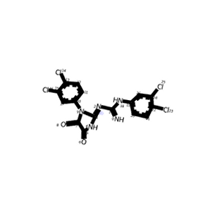 N=C(/N=C1\NC(=O)C(=O)N1c1ccc(Cl)c(Cl)c1)Nc1ccc(Cl)c(Cl)c1